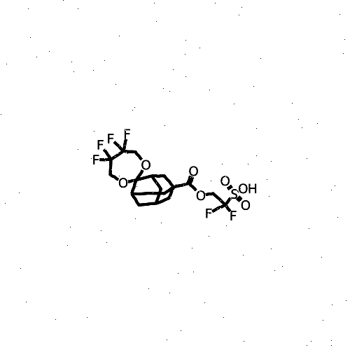 O=C(OCC(F)(F)S(=O)(=O)O)C12CC3CC(C1)C1(OCC(F)(F)C(F)(F)CO1)C(C3)C2